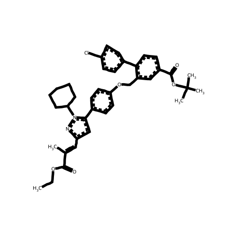 CCOC(=O)/C(C)=C/c1cc(-c2ccc(OCc3cc(C(=O)OC(C)(C)C)ccc3-c3ccc(Cl)cc3)cc2)n(C2CCCCC2)n1